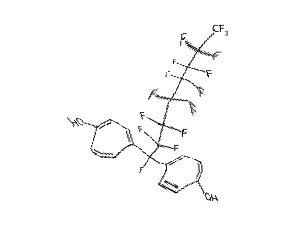 Oc1ccc(C(F)(c2ccc(O)cc2)C(F)(F)C(F)(F)C(F)(F)C(F)(F)C(F)(F)C(F)(F)C(F)(F)F)cc1